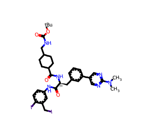 CN(C)c1ncc(-c2cccc(C[C@H](NC(=O)C3CCC(CNC(=O)OC(C)(C)C)CC3)C(=O)Nc3ccc(I)c(CI)c3)c2)cn1